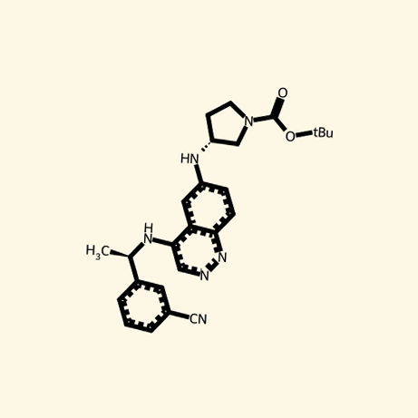 C[C@@H](Nc1cnnc2ccc(N[C@@H]3CCN(C(=O)OC(C)(C)C)C3)cc12)c1cccc(C#N)c1